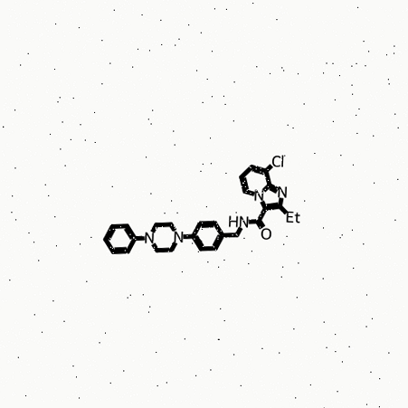 CCc1nc2c(Cl)cccn2c1C(=O)NCc1ccc(N2CCN(c3ccccc3)CC2)cc1